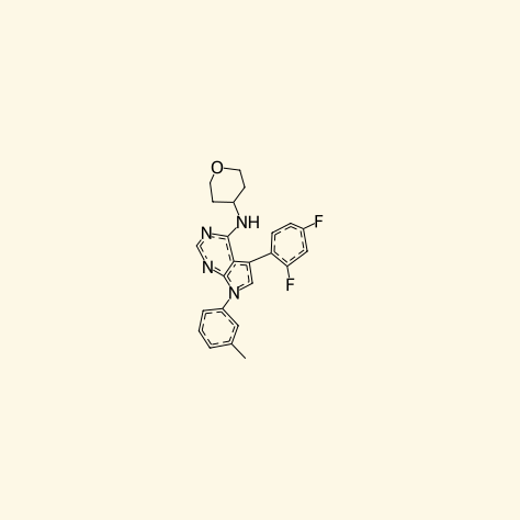 Cc1cccc(-n2cc(-c3ccc(F)cc3F)c3c(NC4CCOCC4)ncnc32)c1